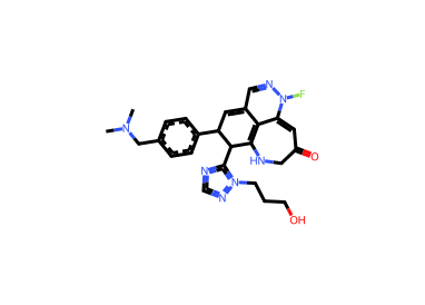 CN(C)Cc1ccc(C2C=C3C=NN(F)C4=CC(=O)CNC(=C34)C2c2ncnn2CCCO)cc1